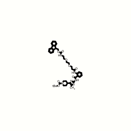 Cc1sc(NC(=O)c2ccccc2NC(=O)CCOCCOCCNC(=O)OCC2c3ccccc3-c3ccccc32)nc1C1CCN(C(=O)OC(C)(C)C)CC1